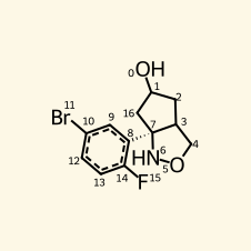 OC1CC2CON[C@@]2(c2cc(Br)ccc2F)C1